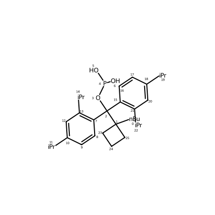 CCCCC1(C(OP(O)O)(c2ccc(C(C)C)cc2C(C)C)c2ccc(C(C)C)cc2C(C)C)CCC1